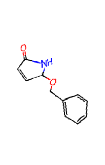 O=C1C=CC(OCc2ccccc2)N1